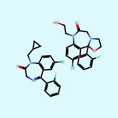 O=C1CN2CCOC2(c2ccccc2F)c2cc(Cl)ccc2N1CCO.O=C1CN=C(c2ccccc2F)c2cc(Cl)ccc2N1CC1CC1